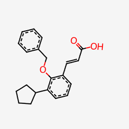 O=C(O)C=Cc1cccc(C2CCCC2)c1OCc1ccccc1